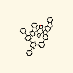 c1ccc(-c2ccc(-c3cc(-c4ccccc4)nc(-c4cccc(-c5ccc6c(c5)C5(c7cc8c(cc7-6)sc6ccccc68)c6ccccc6C6(c7ccccc7-c7ccccc76)c6ccccc65)c4)n3)cc2)cc1